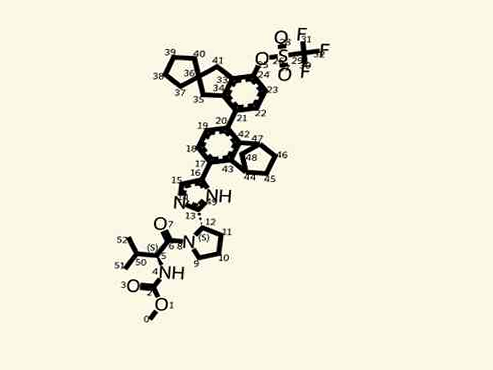 COC(=O)N[C@H](C(=O)N1CCC[C@H]1c1ncc(-c2ccc(-c3ccc(OS(=O)(=O)C(F)(F)F)c4c3CC3(CCCC3)C4)c3c2C2CCC3C2)[nH]1)C(C)C